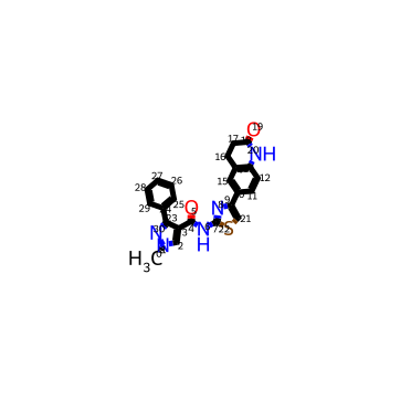 Cn1cc(C(=O)Nc2nc(-c3ccc4c(c3)CCC(=O)N4)cs2)c(-c2ccccc2)n1